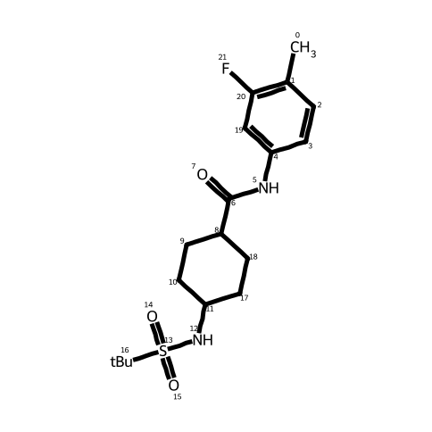 Cc1ccc(NC(=O)C2CCC(NS(=O)(=O)C(C)(C)C)CC2)cc1F